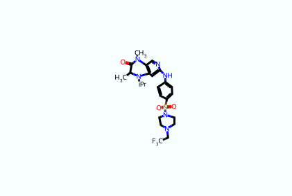 CC(C)N1c2cc(Nc3ccc(S(=O)(=O)N4CCN(CC(F)(F)F)CC4)cc3)ncc2N(C)C(=O)C1C